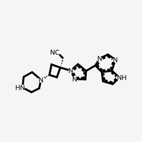 N#CC[C@]1(n2cc(-c3ncnc4[nH]ccc34)cn2)C[C@H](N2CCNCC2)C1